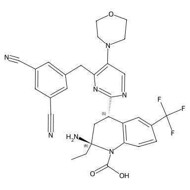 CC[C@]1(N)C[C@H](c2ncc(N3CCOCC3)c(Cc3cc(C#N)cc(C#N)c3)n2)c2cc(C(F)(F)F)ccc2N1C(=O)O